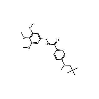 COc1cc(CNC(=O)c2ccc(/C(C)=C/C(C)(C)C)cc2)cc(OC)c1OC